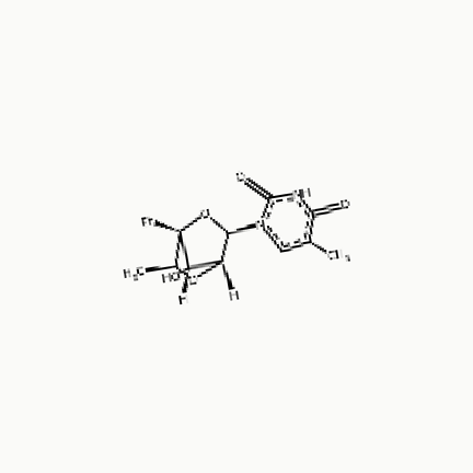 CC[C@]12O[C@@H](n3cc(C)c(=O)[nH]c3=O)[C@H](O[C@H]1C)[C@@H]2O